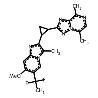 COc1cc2nc(C3CC3c3nc4c(C)ncc(C)n4n3)c(C)n2cc1C(C)(F)F